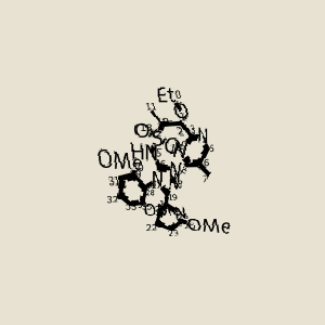 CCO[C@H](c1ncc(C)cn1)[C@H](C)S(=O)(=O)Nc1nnc(-c2cccc(OC)n2)n1-c1c(OC)cccc1OC